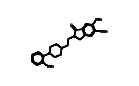 COc1cc2c(cc1OC)C(=O)N(CCN1CCN(c3ccccc3OC)CC1)C2